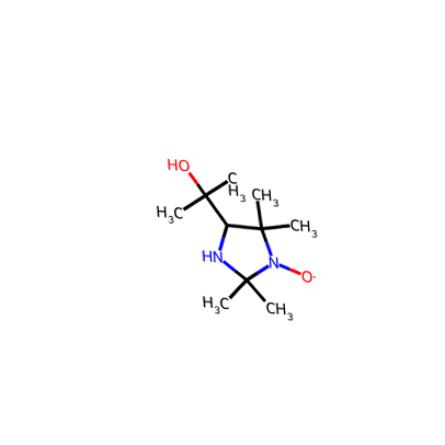 CC(C)(O)C1NC(C)(C)N([O])C1(C)C